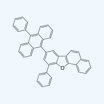 c1ccc(-c2c3ccccc3c(-c3cc(-c4ccccc4)c4oc5c6ccccc6ccc5c4c3)c3ccccc23)cc1